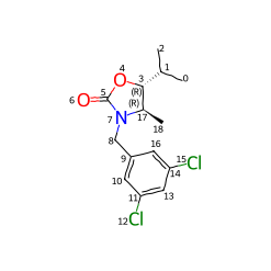 CC(C)[C@H]1OC(=O)N(Cc2cc(Cl)cc(Cl)c2)[C@@H]1C